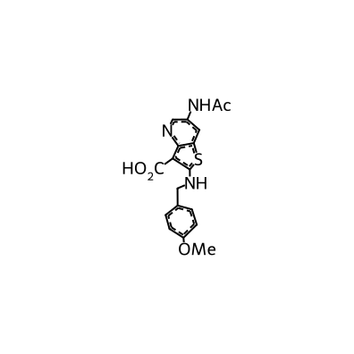 COc1ccc(CNc2sc3cc(NC(C)=O)cnc3c2C(=O)O)cc1